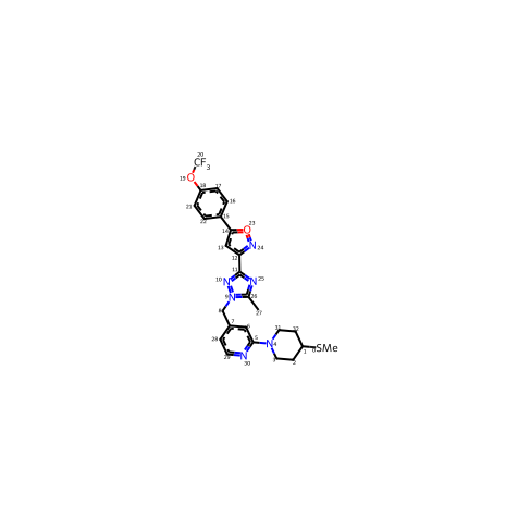 CSC1CCN(c2cc(Cn3nc(-c4cc(-c5ccc(OC(F)(F)F)cc5)on4)nc3C)ccn2)CC1